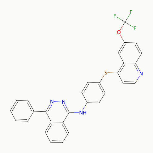 FC(F)(F)Oc1ccc2nccc(Sc3ccc(Nc4nnc(-c5ccccc5)c5ccccc45)cc3)c2c1